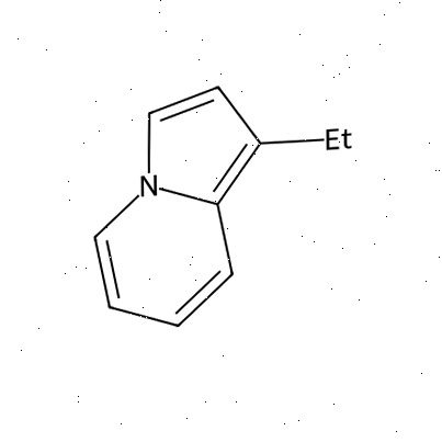 [CH2]Cc1ccn2ccccc12